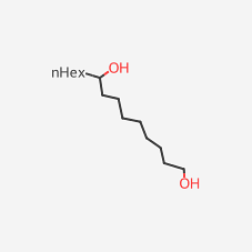 CCCCCCC(O)CCCCCCCCO